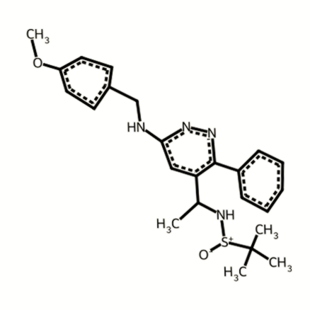 COc1ccc(CNc2cc(C(C)N[S+]([O-])C(C)(C)C)c(-c3ccccc3)nn2)cc1